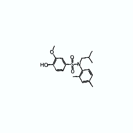 COc1cc(S(=O)(=O)N(CC(C)C)c2ccc(C)cc2C)ccc1O